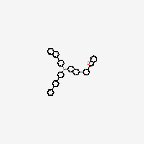 c1ccc(-c2ccc(-c3ccc(N(c4ccc(-c5ccc6ccccc6c5)cc4)c4ccc5cc(-c6cccc(-c7cc8ccccc8o7)c6)ccc5c4)cc3)cc2)cc1